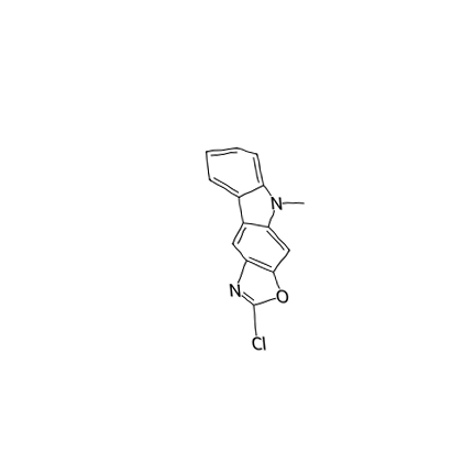 Cn1c2ccccc2c2cc3nc(Cl)oc3cc21